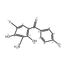 Nc1c(O)c(F)cc(C(=O)c2ccc(Cl)cc2)c1O